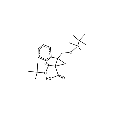 CC(C)(C)OC(=O)C1(C(=O)O)CC1(CO[Si](C)(C)C(C)(C)C)c1ccccc1